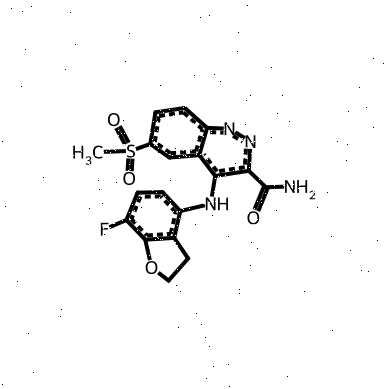 CS(=O)(=O)c1ccc2nnc(C(N)=O)c(Nc3ccc(F)c4c3CCO4)c2c1